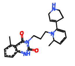 Cc1cccc2[nH]c(=O)n(CCCN3C(C4=CCNCC4)=CC=CC3C)c(=O)c12